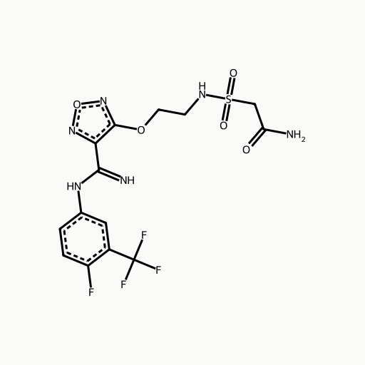 N=C(Nc1ccc(F)c(C(F)(F)F)c1)c1nonc1OCCNS(=O)(=O)CC(N)=O